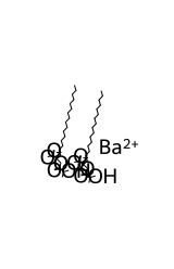 CCCCCCCCCCCCCCCCC(C)(OC(=O)C(C)O)C(=O)[O-].CCCCCCCCCCCCCCCCC(C)(OC(=O)C(C)O)C(=O)[O-].[Ba+2]